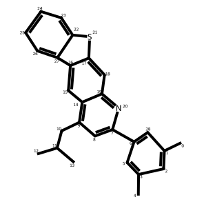 Cc1cc(C)cc(-c2cc(CC(C)C)c3cc4c(cc3n2)sc2ccccc24)c1